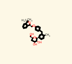 Cc1ccc([C@@H]2O[C@H](CO)C[C@H](O)[C@H]2O)cc1Cc1ccc(OC[C@@H]2OC(C)(C)c3ccccc32)cc1